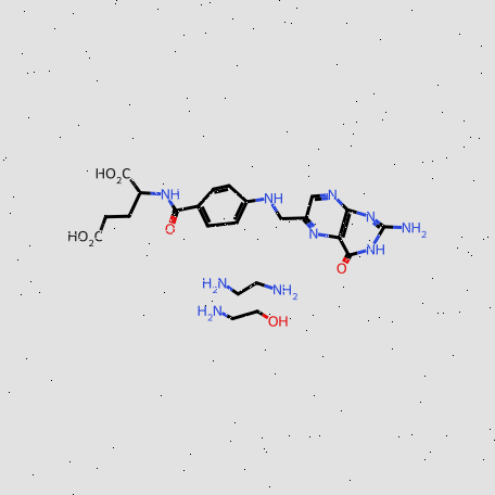 NCCN.NCCO.Nc1nc2ncc(CNc3ccc(C(=O)NC(CCC(=O)O)C(=O)O)cc3)nc2c(=O)[nH]1